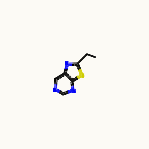 CCc1nc2cncnc2s1